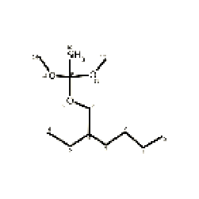 CCCCC(CC)COC([SiH3])(OC)OC